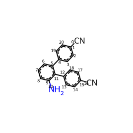 N#Cc1ccc(-c2cccc(N)c2-c2ccc(C#N)cc2)cc1